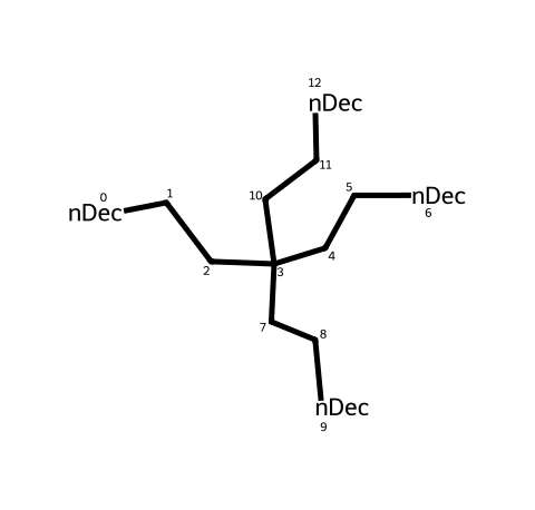 CCCCCCCCCCCCC(CCCCCCCCCCCC)(CCCCCCCCCCCC)CCCCCCCCCCCC